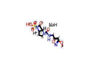 COc1cc(CNC(=O)N2CC[C@@H]3[C@H]2C(=O)N3S(=O)(=O)O)on1.[NaH]